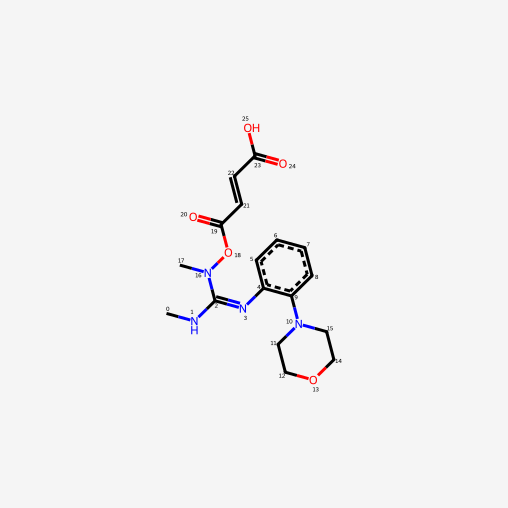 CNC(=Nc1ccccc1N1CCOCC1)N(C)OC(=O)/C=C/C(=O)O